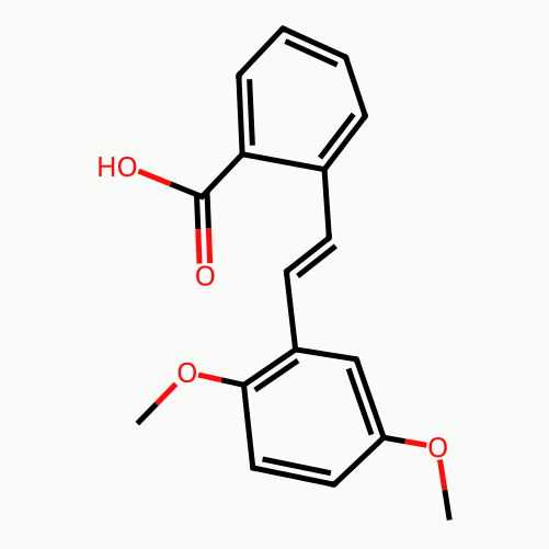 COc1ccc(OC)c(C=Cc2ccccc2C(=O)O)c1